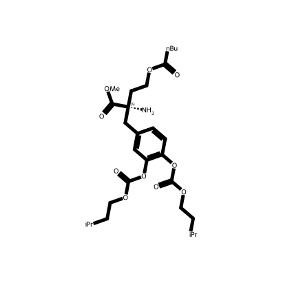 CCCCC(=O)OCC[C@@](N)(Cc1ccc(OC(=O)OCCC(C)C)c(OC(=O)OCCC(C)C)c1)C(=O)OC